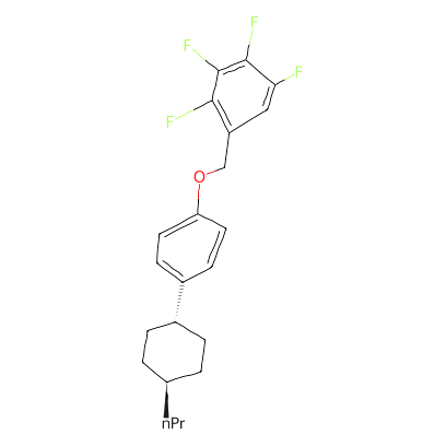 CCC[C@H]1CC[C@H](c2ccc(OCc3cc(F)c(F)c(F)c3F)cc2)CC1